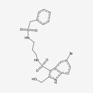 O=S(=O)(Cc1ccccc1)NCCCNS(=O)(=O)c1c(CO)[nH]c2ccc(Br)cc12